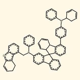 C1=CCC(N(c2ccccc2)c2ccc(-c3cccc4c3C3C=CC=CC3C43c4ccccc4-c4ccc(N(Cc5cccc6oc7c(c56)CCC=C7)c5ccccc5)cc43)cc2)C=C1